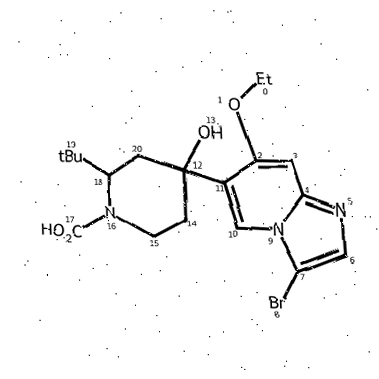 CCOc1cc2ncc(Br)n2cc1C1(O)CCN(C(=O)O)C(C(C)(C)C)C1